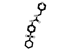 O=C(NCc1ccncc1)Nc1ccc(S(=O)(=O)C2CCCCC2)cc1